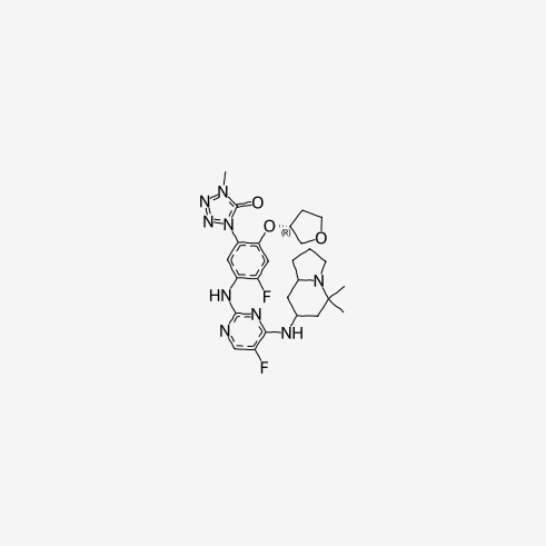 Cn1nnn(-c2cc(Nc3ncc(F)c(NC4CC5CCCN5C(C)(C)C4)n3)c(F)cc2O[C@@H]2CCOC2)c1=O